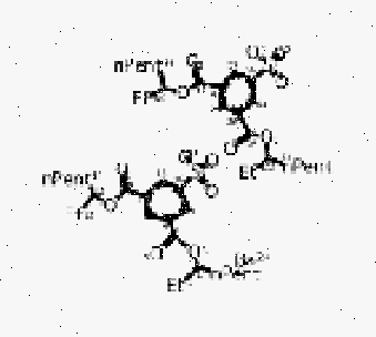 CCCCCC(CC)OC(=O)c1cc(C(=O)OC(CC)CCCCC)cc(S(=O)(=O)[O-])c1.CCCCCC(CC)OC(=O)c1cc(C(=O)OC(CC)CCCCC)cc(S(=O)(=O)[O-])c1.[Ba+2]